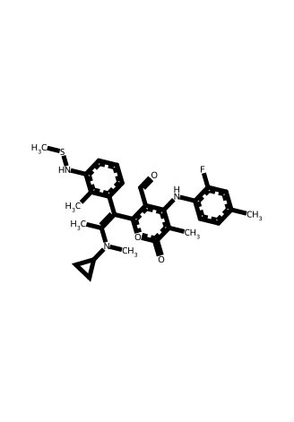 CSNc1cccc(/C(=C(\C)N(C)C2CC2)c2oc(=O)c(C)c(Nc3ccc(C)cc3F)c2C=O)c1C